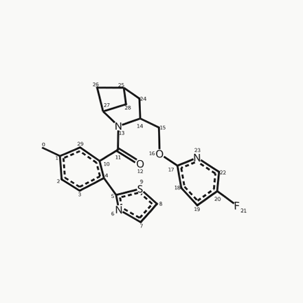 Cc1ccc(-c2nccs2)c(C(=O)N2C(COc3ccc(F)cn3)CC3CC2C3)c1